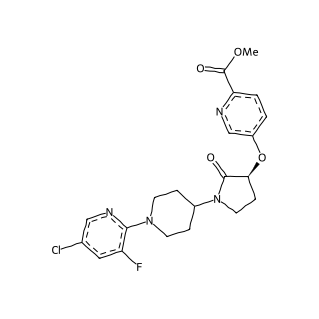 COC(=O)c1ccc(O[C@H]2CCN(C3CCN(c4ncc(Cl)cc4F)CC3)C2=O)cn1